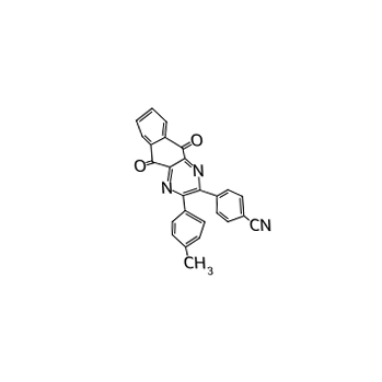 Cc1ccc(-c2nc3c(nc2-c2ccc(C#N)cc2)C(=O)c2ccccc2C3=O)cc1